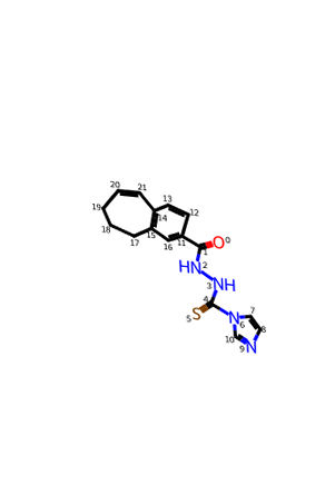 O=C(NNC(=S)n1ccnc1)c1ccc2c(c1)CCCC=C2